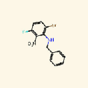 O=[N+]([O-])c1c(F)ccc(Br)c1NCc1ccccc1